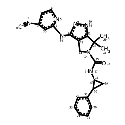 [C-]#[N+]c1ccnc(Nc2n[nH]c3c2CN(C(=O)N[C@H]2CC2c2ccccc2)C3(C)C)c1